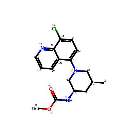 C[C@H]1C[C@@H](NC(=O)OC(C)(C)C)CN(c2ccc(Cl)c3ncccc23)C1